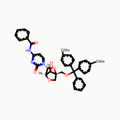 COc1ccc(C(OC[C@]23CO[C@@H]([C@H](n4ccc(NC(=O)c5ccccc5)nc4=O)O2)[C@@H]3O)(c2ccccc2)c2ccc(OC)cc2)cc1